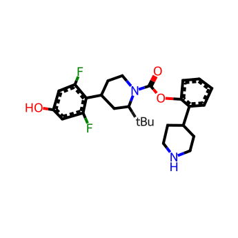 CC(C)(C)C1CC(c2c(F)cc(O)cc2F)CCN1C(=O)Oc1ccccc1C1CCNCC1